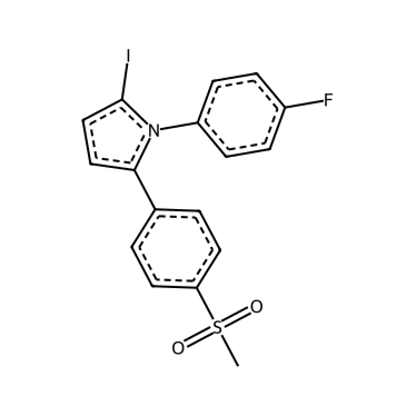 CS(=O)(=O)c1ccc(-c2ccc(I)n2-c2ccc(F)cc2)cc1